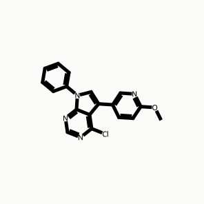 COc1ccc(-c2cn(-c3ccccc3)c3ncnc(Cl)c23)cn1